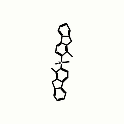 Cc1[c]([Sn]([CH3])([CH3])[c]2ccc3c(c2C)Cc2ccccc2-3)ccc2c1Cc1ccccc1-2